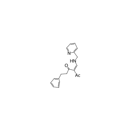 CC(=O)/C(=C/NCc1ccccn1)C(=O)CCc1ccccc1